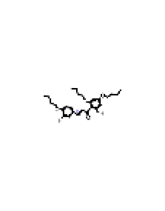 CCCCOc1cc(O)c(C(=O)/C=C/c2ccc(OCCCC)c(F)c2)c(OCCCC)c1